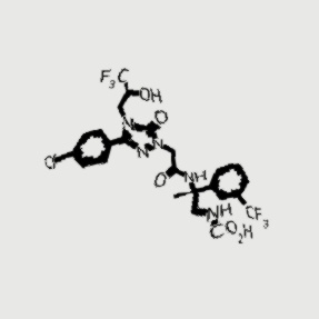 C[C@@](CNC(=O)O)(NC(=O)Cn1nc(-c2ccc(Cl)cc2)n(C[C@H](O)C(F)(F)F)c1=O)c1cccc(C(F)(F)F)c1